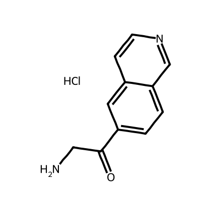 Cl.NCC(=O)c1ccc2cnccc2c1